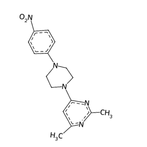 Cc1cc(N2CCN(c3ccc([N+](=O)[O-])cc3)CC2)nc(C)n1